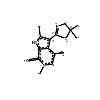 Cc1[nH]c2c(=O)n(C)cc(Br)c2c1C1=NCC(C)(C)O1